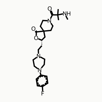 CNC(C)(C)C(=O)N1CCC2(CC1)C[C@H](CCN1CCN(c3ccc(F)cc3)CC1)OC2=O